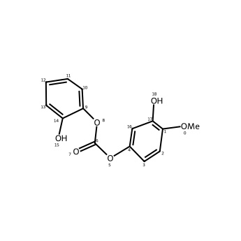 COc1ccc(OC(=O)Oc2ccccc2O)cc1O